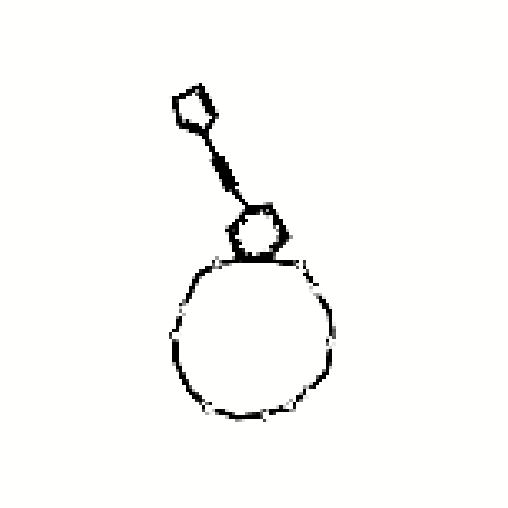 C(#Cc1ccc2c(c1)OCCOCCOCCOCCOCCO2)C1=CCC=C1